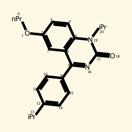 CCCOc1ccc2c(c1)c(-c1ccc(C(C)C)cc1)nc(=O)n2C(C)C